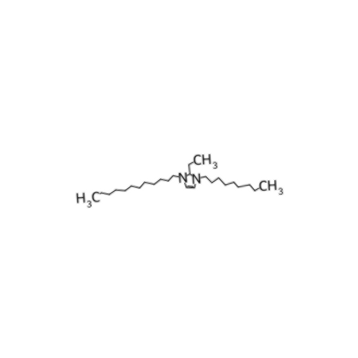 CCCCCCCCCCCCN1C=CN(CCCCCCCCC)C1CC